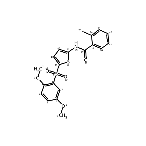 COc1ccc(OC)c(S(=O)(=O)c2ccc(NC(=O)c3ccccc3F)s2)c1